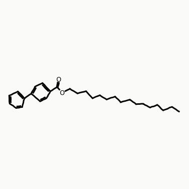 CCCCCCCCCCCCCCCCOC(=O)c1ccc(-c2ccccc2)cc1